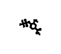 CC(=O)C1CC=C(OS(=O)(=O)C(F)(F)F)C(C)C1